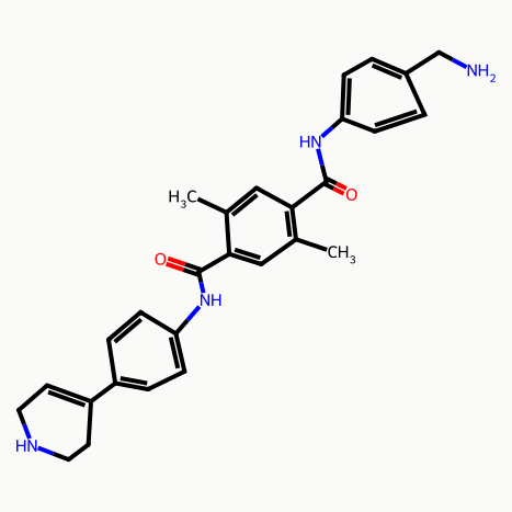 Cc1cc(C(=O)Nc2ccc(C3=CCNCC3)cc2)c(C)cc1C(=O)Nc1ccc(CN)cc1